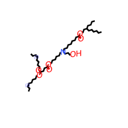 CC/C=C\CCCCOC(CCC(=O)OCCCCCCN(CCCO)CCCCCCCC(=O)OCCC(CCCC)CCCCCC)OCCCC/C=C\CC